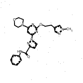 Cn1cc(CCOc2nc(N3CCOCC3)cc(-n3ccc(C(=O)Nc4ccccc4)n3)n2)cn1